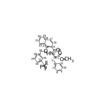 COC(=O)[C@H](Cc1ccccc1)NC(=O)c1ccc2ccccc2c1OCc1cccc(C(F)(F)F)c1